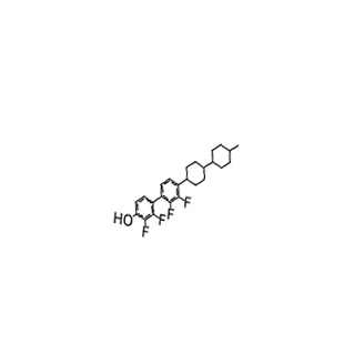 CC1CCC(C2CCC(c3ccc(-c4ccc(O)c(F)c4F)c(F)c3F)CC2)CC1